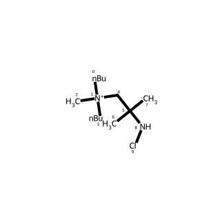 CCCC[N+](C)(CCCC)CC(C)(C)NCl